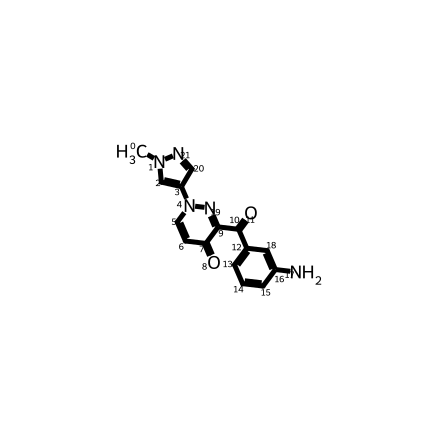 Cn1cc(-n2ccc(=O)c(C(=O)c3cccc(N)c3)n2)cn1